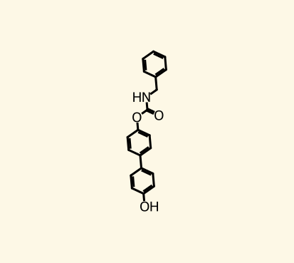 O=C(NCc1ccccc1)Oc1ccc(-c2ccc(O)cc2)cc1